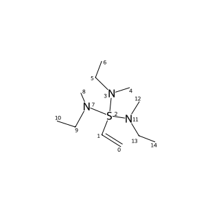 C=CS(N(C)CC)(N(C)CC)N(C)CC